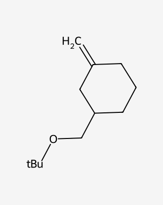 C=C1CCCC(COC(C)(C)C)C1